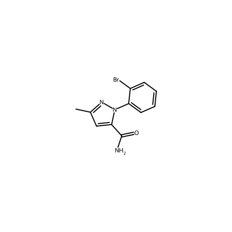 Cc1cc(C(N)=O)n(-c2ccccc2Br)n1